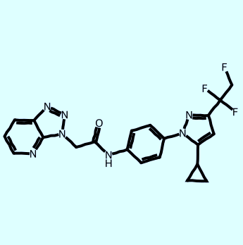 O=C(Cn1nnc2cccnc21)Nc1ccc(-n2nc(C(F)(F)CF)cc2C2CC2)cc1